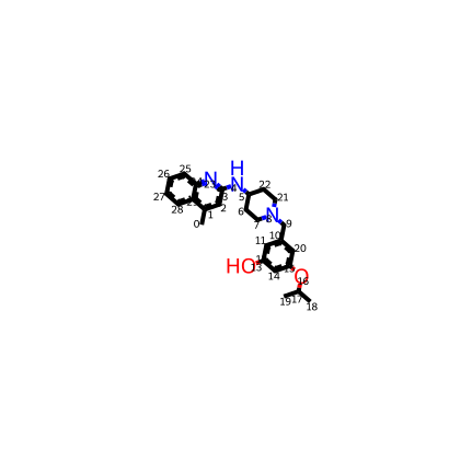 Cc1cc(NC2CCN(Cc3cc(O)cc(OC(C)C)c3)CC2)nc2ccccc12